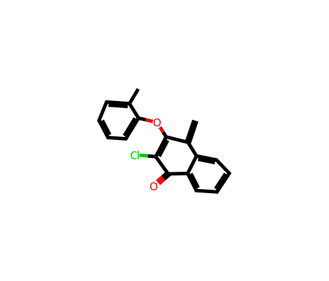 C=C1C(Oc2ccccc2C)=C(Cl)C(=O)c2ccccc21